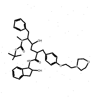 CN(C(=O)OC(C)(C)C)C(Cc1ccccc1)C(O)CC(Cc1ccc(OCCN2CCOCC2)cc1)C(=O)NC1c2ccccc2CC1O